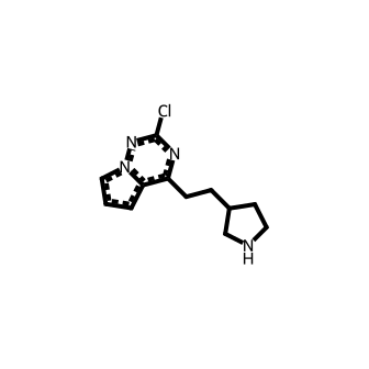 Clc1nc(CCC2CCNC2)c2cccn2n1